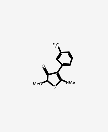 CNC1=C(c2cccc(C(F)(F)F)c2)C(=O)C(OC)S1